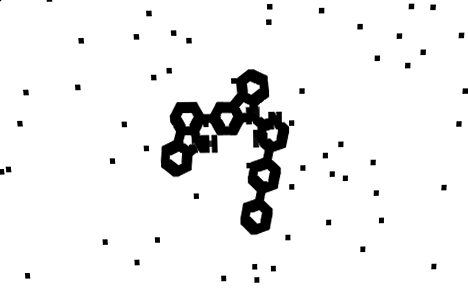 c1ccc(-c2ccc(-c3ccnc(-n4c5ccccc5c5cc(-c6cccc7c6[nH]c6ccccc67)ccc54)n3)cc2)cc1